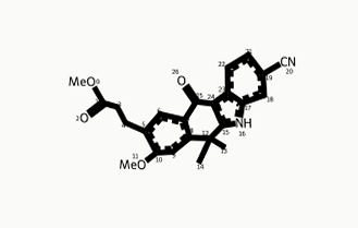 COC(=O)CCc1cc2c(cc1OC)C(C)(C)c1[nH]c3cc(C#N)ccc3c1C2=O